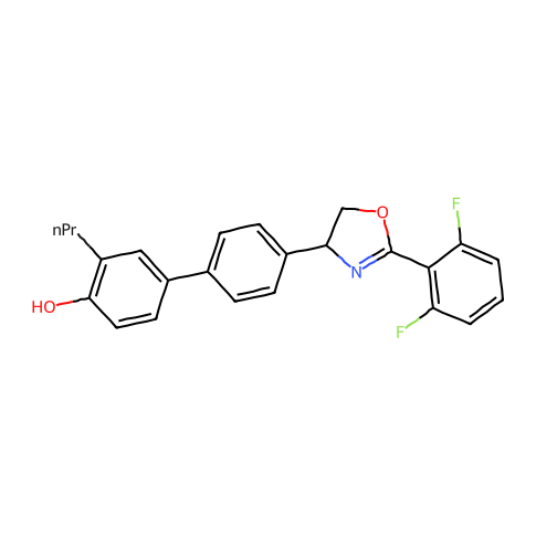 CCCc1cc(-c2ccc(C3COC(c4c(F)cccc4F)=N3)cc2)ccc1O